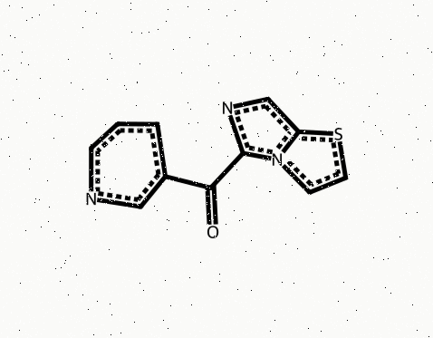 O=C(c1cccnc1)c1ncc2sccn12